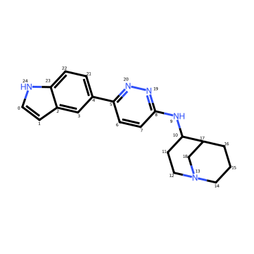 c1cc2cc(-c3ccc(NC4CCN5CCCC4C5)nn3)ccc2[nH]1